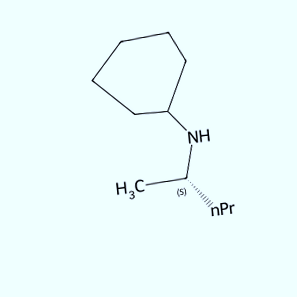 CCC[C@H](C)NC1CCCCC1